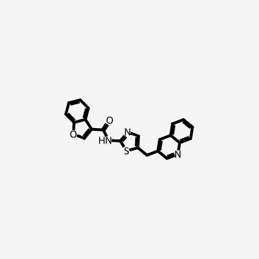 O=C(Nc1ncc(Cc2cnc3ccccc3c2)s1)c1coc2ccccc12